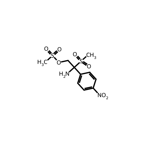 CS(=O)(=O)OCC(N)(c1ccc([N+](=O)[O-])cc1)S(C)(=O)=O